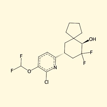 O[C@H]1C(F)(F)C[C@H](c2ccc(OC(F)F)c(Cl)n2)CC12CCCC2